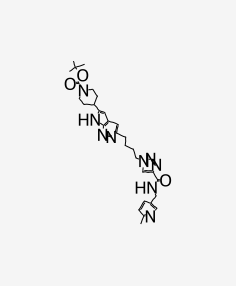 Cc1ccc(CNC(=O)c2cn(CCCCc3cc4cc(C5CCN(C(=O)OC(C)(C)C)CC5)[nH]c4nn3)nn2)cn1